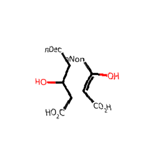 CCCCCCCCCC(O)=CC(=O)O.CCCCCCCCCCCC(O)CC(=O)O